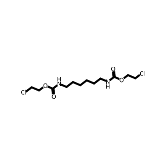 O=C(NCCCCCCNC(=O)OCCCl)OCCCl